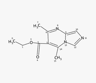 CCOC(=O)c1c(C)nc2cncn2c1C